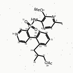 COc1nc(C)cnc1NS(=O)(=O)c1cnccc1-c1ccccc1CC(C)COC(C)=O